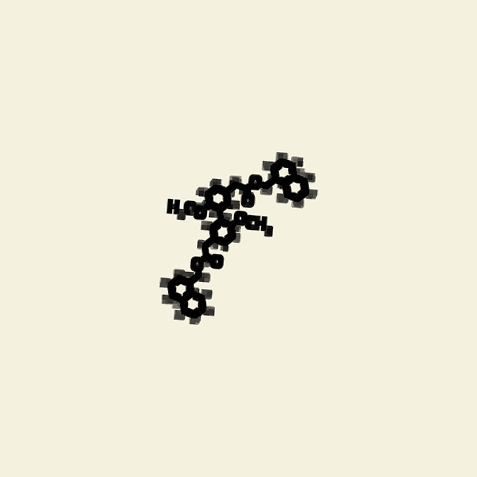 COc1ccc(CC(=O)OCc2cccc3ccccc23)cc1-c1cc(CC(=O)OCc2cccc3ccccc23)ccc1OC